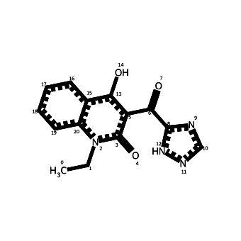 CCn1c(=O)c(C(=O)c2ncn[nH]2)c(O)c2ccccc21